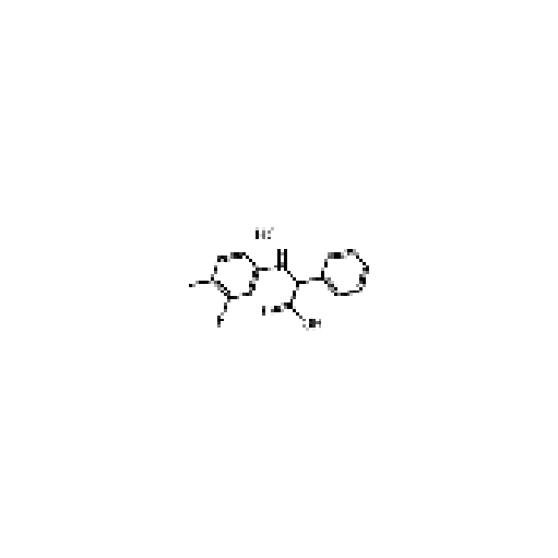 Cc1ccc(NC(C(=O)O)c2ccccc2)cc1F.Cl